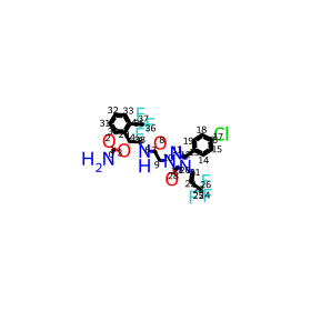 NC(=O)OC(CNC(=O)Cn1nc(-c2ccc(Cl)cc2)n(/C=C/C(F)(F)F)c1=O)c1ccccc1C(F)(F)F